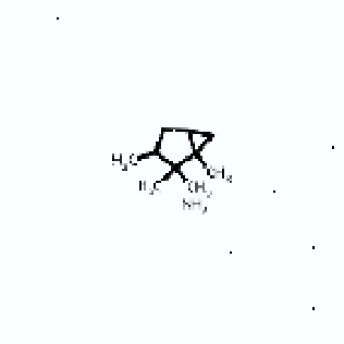 CC1CC2CC2(C)C1(C)C.N